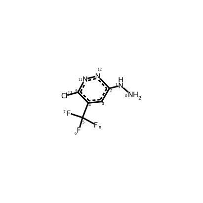 NNc1cc(C(F)(F)F)c(Cl)nn1